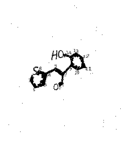 O=CC(=Cc1cccs1)c1ccccc1O